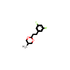 CC1COC(CCc2cc(F)cc(F)c2)OC1